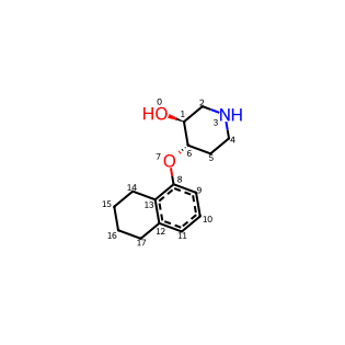 O[C@H]1CNCC[C@@H]1Oc1cccc2c1CCCC2